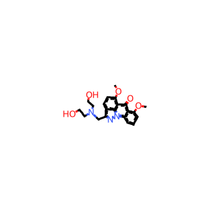 COc1cccc2c1c(=O)c1c(OC)ccc3c(CN(CCO)CCO)nn2c31